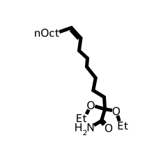 CCCCCCCC/C=C\CCCCCCC(OCC)(OCC)C(N)=O